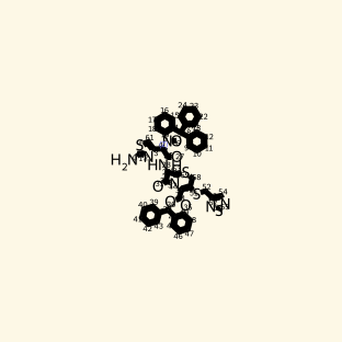 Nc1nc(/C(=N/OC(c2ccccc2)(c2ccccc2)c2ccccc2)C(=O)N[C@@H]2C(=O)N3C(C(=O)OC(c4ccccc4)c4ccccc4)=C(SCc4cnsn4)CS[C@@H]23)cs1